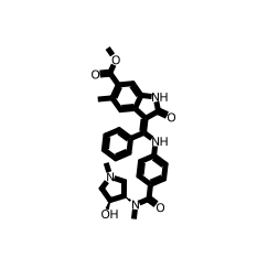 COC(=O)c1cc2c(cc1C)/C(=C(/Nc1ccc(C(=O)N(C)[C@H]3CN(C)C[C@@H]3O)cc1)c1ccccc1)C(=O)N2